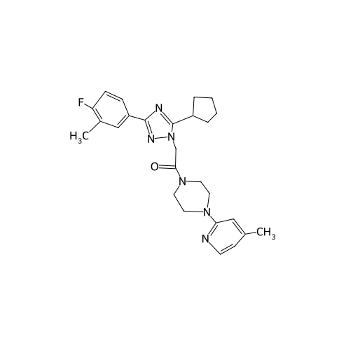 Cc1ccnc(N2CCN(C(=O)Cn3nc(-c4ccc(F)c(C)c4)nc3C3CCCC3)CC2)c1